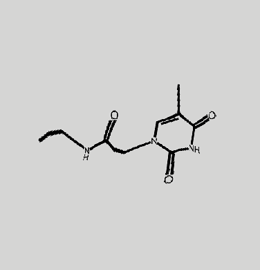 CCNC(=O)Cn1cc(C)c(=O)[nH]c1=O